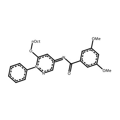 CCCCCCCCOc1cc(=NC(=O)c2cc(OC)cc(OC)c2)cnn1-c1ccccc1